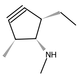 CC[C@H]1C#C[C@@H](C)[C@H]1NC